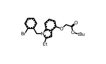 CCc1cc2c(OCC(=O)OC(C)(C)C)cccc2n1Cc1ccccc1Br